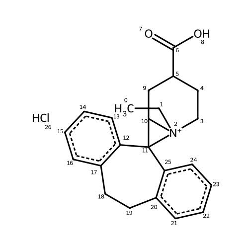 CC[N+]12CCC(C(=O)O)CC1C21c2ccccc2CCc2ccccc21.Cl